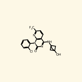 O=c1nc(NC23CC(O)(C2)C3)c2ccc(C(F)(F)F)nc2n1-c1ccccc1Cl